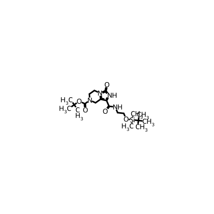 CC(C)(C)OC(=O)N1CCn2c(c(C(=O)NCCO[Si](C)(C)C(C)(C)C)[nH]c2=O)C1